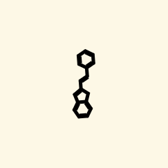 C(=Cc1ccccc1)C1=Cc2ccccc2C1